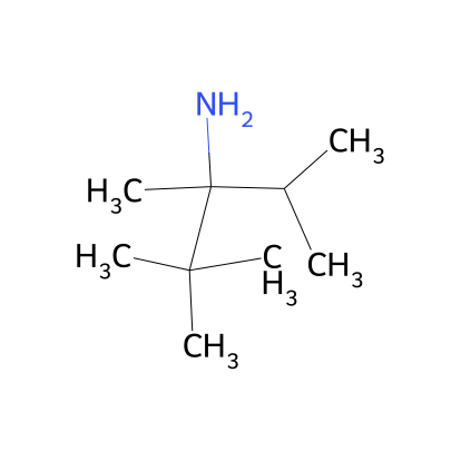 CC(C)C(C)(N)C(C)(C)C